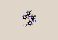 Cc1cnc(-c2ccccn2)c(C(=O)N2C[C@H]3C[C@@H](Nc4ccc(C(F)(F)F)cn4)[C@@H]2C3)c1